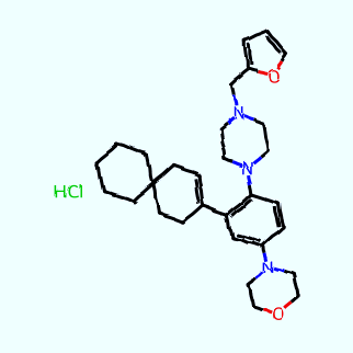 C1=C(c2cc(N3CCOCC3)ccc2N2CCN(Cc3ccco3)CC2)CCC2(C1)CCCCC2.Cl